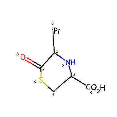 CC(C)C1NC(C(=O)O)CSC1=O